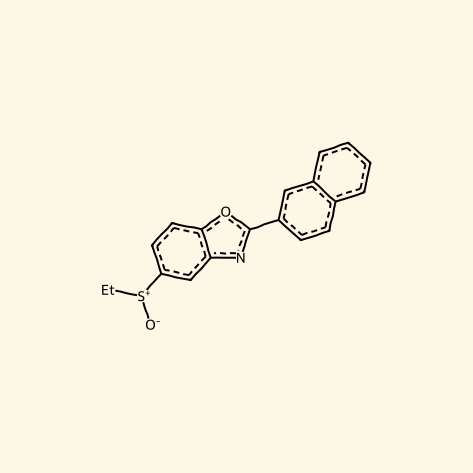 CC[S+]([O-])c1ccc2oc(-c3ccc4ccccc4c3)nc2c1